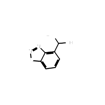 CC(C)c1cccc2snnc12